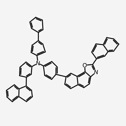 c1ccc(-c2ccc(N(c3ccc(-c4ccc5ccc6nc(-c7ccc8ccccc8c7)oc6c5c4)cc3)c3cccc(-c4cccc5ccccc45)c3)cc2)cc1